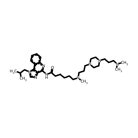 CC(C)Cn1cnc2c(NC(=O)CCCCCN(C)CCCN3CCN(CCCN(C)C)CC3)nc3ccccc3c21